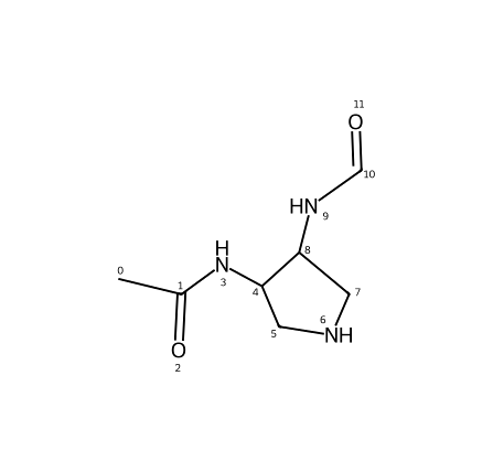 CC(=O)NC1CNCC1NC=O